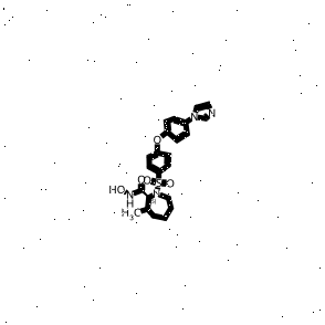 CC1CCCCN(S(=O)(=O)c2ccc(Oc3ccc(-n4ccnc4)cc3)cc2)[C@@H]1C(=O)NO